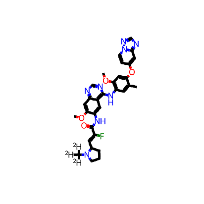 [2H]C([2H])([2H])N1CCCC1C=C(F)C(=O)Nc1cc2c(Nc3cc(C)c(Oc4ccn5ncnc5c4)cc3OC)ncnc2cc1OC